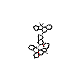 CC1(C)c2ccccc2-c2c(-c3ccc4cc(N(c5ccccc5-c5ccccc5)c5cccc6oc7ccccc7c56)ccc4c3)cc3ccccc3c21